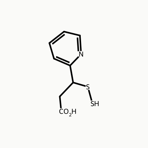 O=C(O)CC(SS)c1ccccn1